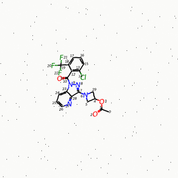 CC(=O)OC1CN(c2nn(C(=O)c3c(Cl)cccc3C(F)(F)F)c3cccnc23)C1